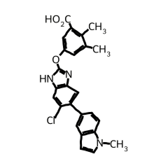 Cc1cc(Oc2nc3cc(-c4ccc5c(ccn5C)c4)c(Cl)cc3[nH]2)cc(C(=O)O)c1C